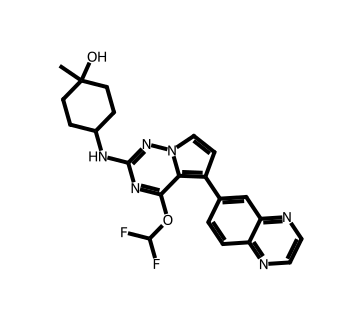 CC1(O)CCC(Nc2nc(OC(F)F)c3c(-c4ccc5nccnc5c4)ccn3n2)CC1